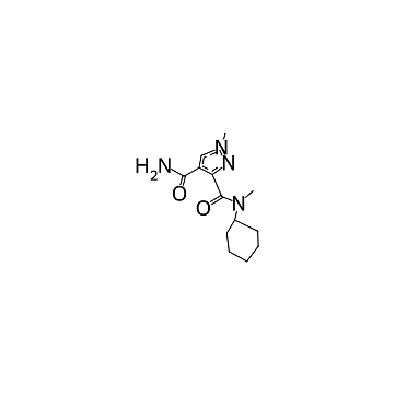 CN(C(=O)c1nn(C)cc1C(N)=O)C1CCCCC1